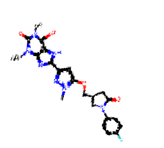 CCCn1c(=O)c2[nH]c(-c3cc(OCC4CC(=O)N(c5ccc(F)cc5)C4)n(C)n3)nc2n(CCC)c1=O